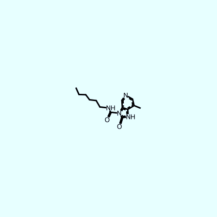 CCCCCCNC(=O)n1c(=O)[nH]c2c(C)cncc21